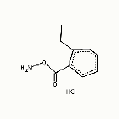 CCc1ccccc1C(=O)ON.Cl